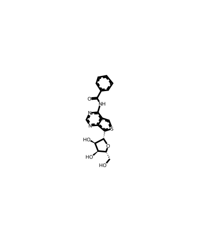 O=C(Nc1ncnc2c([C@@H]3O[C@H](CO)[C@@H](O)[C@H]3O)scc12)c1ccccc1